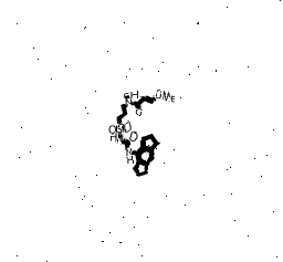 COCCC(=O)N(C)CCCS(=O)(=O)NC(=O)Nc1c2c(cc3c1CCC3)CCC2